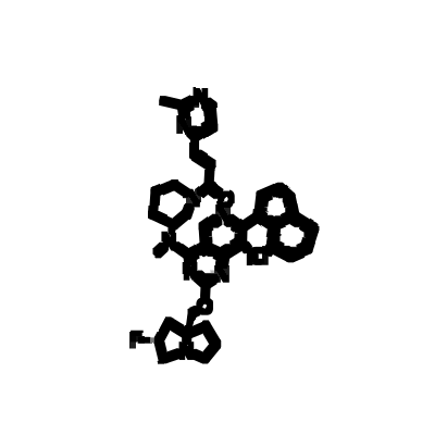 Cc1nccc(/C=C/C(=O)N2CCC[C@@H](N(C)c3nc(OC[C@@]45CCCN4C[C@H](F)C5)nc4c(F)c(-c5cccc6cccc(Cl)c56)ncc34)C2)n1